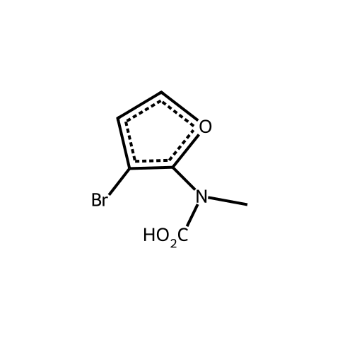 CN(C(=O)O)c1occc1Br